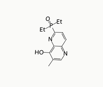 CCP(=O)(CC)c1ccc2ncc(C)c(O)c2n1